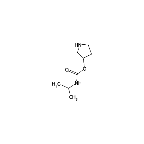 CC(C)NC(=O)OC1CCNC1